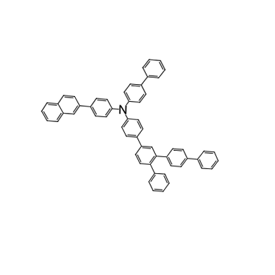 c1ccc(-c2ccc(-c3cc(-c4ccc(N(c5ccc(-c6ccccc6)cc5)c5ccc(-c6ccc7ccccc7c6)cc5)cc4)ccc3-c3ccccc3)cc2)cc1